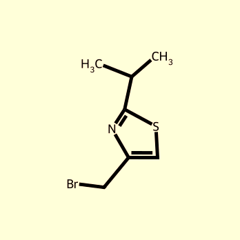 CC(C)c1nc(CBr)cs1